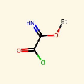 CCOC(=N)C(=O)Cl